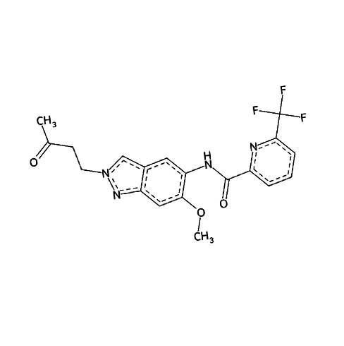 COc1cc2nn(CCC(C)=O)cc2cc1NC(=O)c1cccc(C(F)(F)F)n1